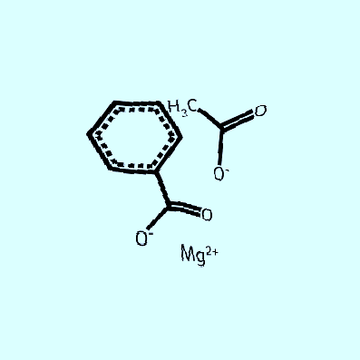 CC(=O)[O-].O=C([O-])c1ccccc1.[Mg+2]